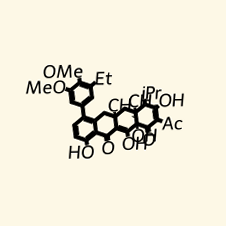 CCc1cc(-c2ccc(O)c3c2C[C@]2(C)C[C@]4(C)C(C(C)C)C(O)=C(C(C)=O)C(=O)[C@]4(O)C(O)=C2C3=O)cc(OC)c1OC